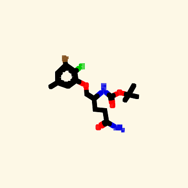 Cc1cc(Br)c(Cl)c(OCC(CCC(N)=O)NC(=O)OC(C)(C)C)c1